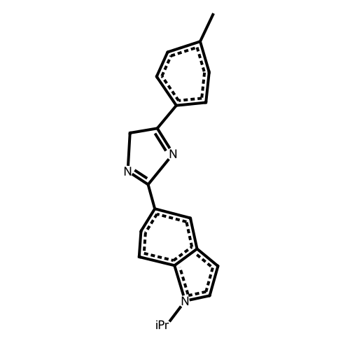 Cc1ccc(C2=NC(c3ccc4c(ccn4C(C)C)c3)=NC2)cc1